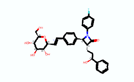 O=C1[C@H](CC[C@H](O)c2ccccc2)[C@@H](c2ccc(/C=C/[C@@H]3O[C@H](CO)[C@@H](O)[C@H](O)[C@H]3O)cc2)N1c1ccc(F)cc1